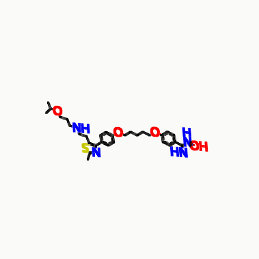 Cc1nc(-c2ccc(OCCCCCOc3ccc(C(=N)NO)cc3)cc2)c(CCNCCCOC(C)C)s1